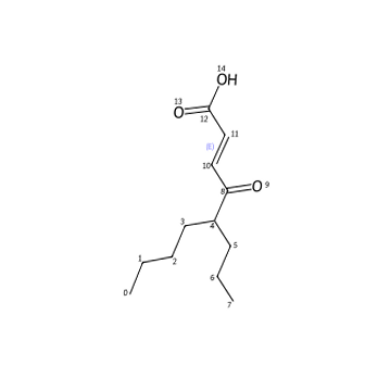 CCCCC(CCC)C(=O)/C=C/C(=O)O